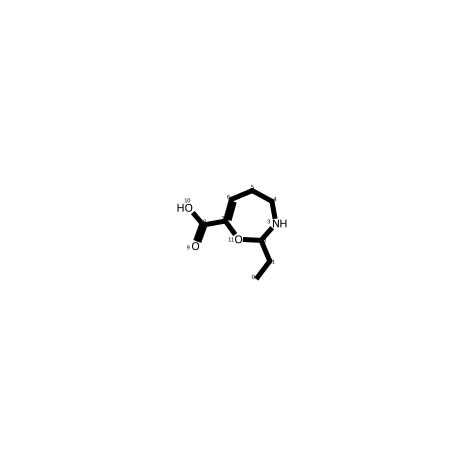 CCC1NCCC=C(C(=O)O)O1